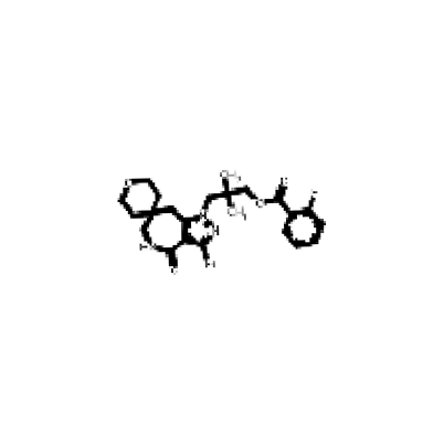 CCc1nn(CC(C)(C)COC(=O)c2ccccc2F)c2c1C(=O)NCC1(CCOCC1)C2